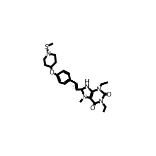 CCn1c2c(c(=O)n(CC)c1=O)N(C)C(/C=C/c1ccc(OC3CCN(SC)CC3)cc1)N2